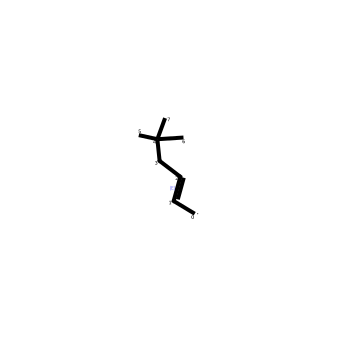 [CH2]/C=C/CC(C)(C)C